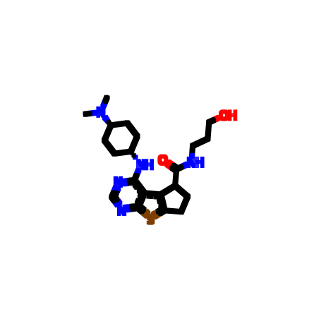 CN(C)[C@H]1CC[C@H](Nc2ncnc3sc4c(c23)C(C(=O)NCCCO)CC4)CC1